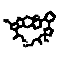 CCOC(=O)OC1(C)N=NC(c2ccccc2-c2ccc(Cn3c(SCC)nc4c(C)sc(C(=O)OC)c43)cc2)=N1